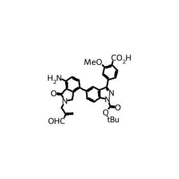 C=C(C=O)CN1Cc2c(-c3ccc4c(c3)c(-c3ccc(C(=O)O)c(OC)c3)nn4C(=O)OC(C)(C)C)ccc(N)c2C1=O